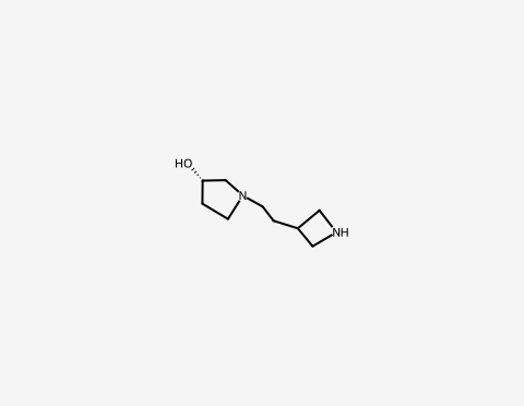 O[C@H]1CCN(CCC2CNC2)C1